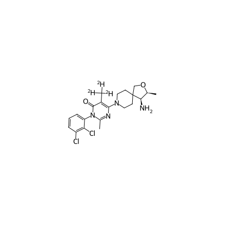 [2H]C([2H])([2H])c1c(N2CCC3(CC2)CO[C@@H](C)[C@H]3N)nc(C)n(-c2cccc(Cl)c2Cl)c1=O